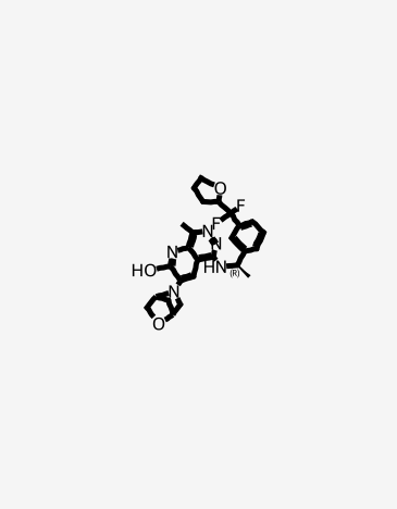 Cc1nnc(N[C@H](C)c2cccc(C(F)(F)C3CCCO3)c2)c2cc(N3CC4CC3CO4)c(O)nc12